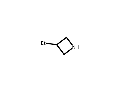 CC[C]1CNC1